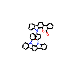 O=c1oc2c(ccc3c4ccccc4n(-c4ccc(-n5c6ccccc6c6ccc7c8ccccc8n(-c8ccccc8)c7c65)cc4)c32)c2ccccc12